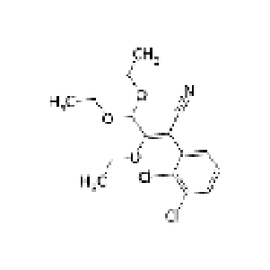 CCOC(=C(C#N)c1cccc(Cl)c1Cl)C(OCC)OCC